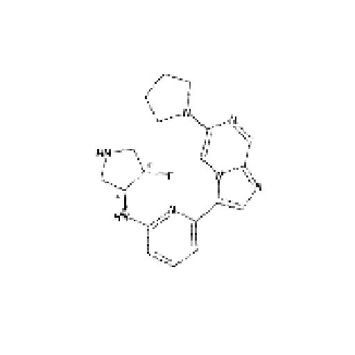 F[C@H]1CNC[C@@H]1Nc1cccc(-c2cnc3cnc(N4CCCC4)cn23)n1